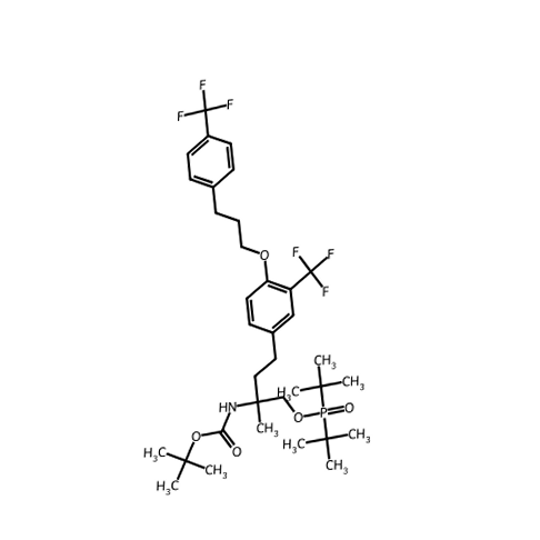 CC(CCc1ccc(OCCCc2ccc(C(F)(F)F)cc2)c(C(F)(F)F)c1)(COP(=O)(C(C)(C)C)C(C)(C)C)NC(=O)OC(C)(C)C